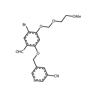 COCCOCOc1cc(OCc2cncc(C#N)c2)c(C=O)cc1Br